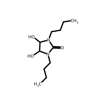 CCCCN1C(=O)N(CCCC)C(O)C1O